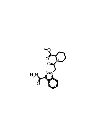 COC(=O)C1CCCCN1C(=O)Cn1nc(C(N)=O)c2ccccc21